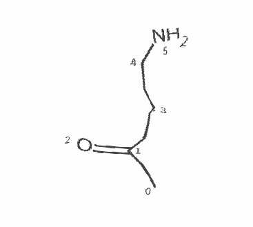 CC(=O)[CH]CN